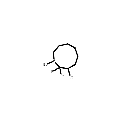 CCC1CCCCCCP(CC)C1(F)CC